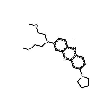 COCCN(CCOC)c1ccc2nc3ccc(N4CCCC4)cc3[s+]c2c1.[I-]